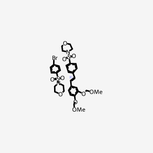 COCOc1ccc(/C=C/c2ccc(S(=O)(=O)N3CCOCC3)cc2)cc1OCOC.O=S(=O)(c1ccc(Br)cc1)N1CCOCC1